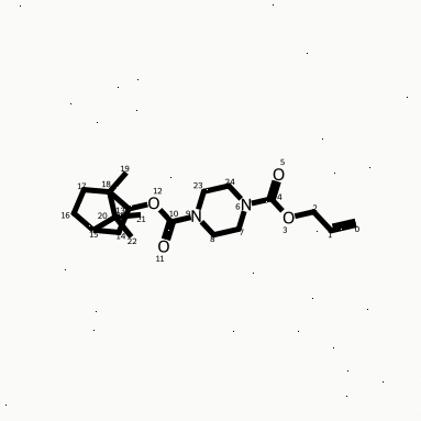 C=CCOC(=O)N1CCN(C(=O)OC2CC3CCC2(C)C3(C)C)CC1